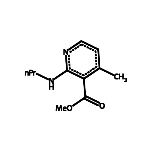 CCCNc1nccc(C)c1C(=O)OC